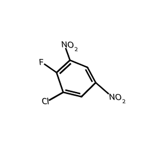 O=[N+]([O-])c1cc(Cl)c(F)c([N+](=O)[O-])c1